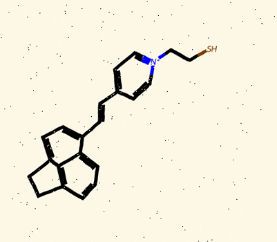 SCC[n+]1ccc(/C=C/c2ccc3c4c(cccc24)CC3)cc1